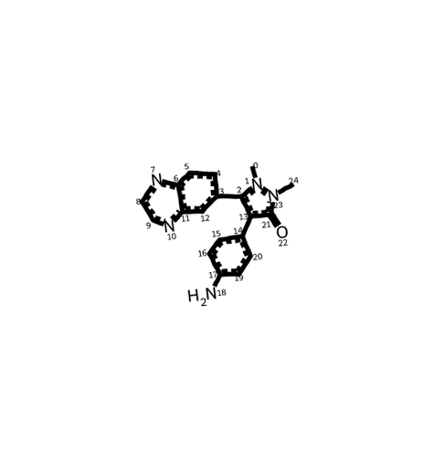 Cn1c(-c2ccc3nccnc3c2)c(-c2ccc(N)cc2)c(=O)n1C